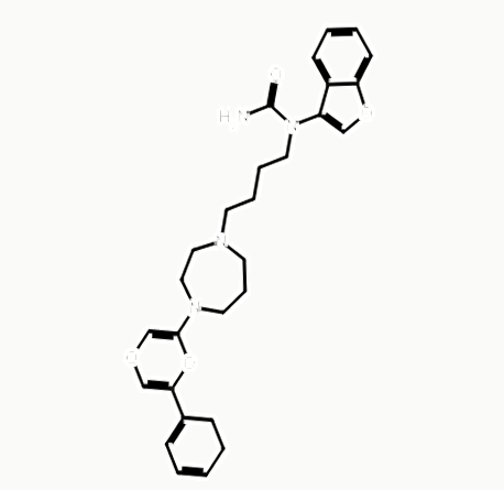 NC(=O)N(CCCCN1CCCN(C2=COC=C(C3=CC=CCC3)O2)CC1)c1coc2ccccc12